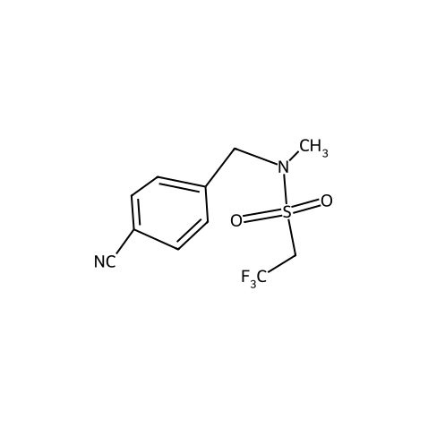 CN(Cc1ccc(C#N)cc1)S(=O)(=O)CC(F)(F)F